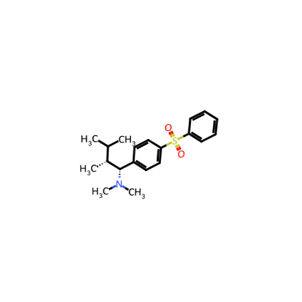 CC(C)[C@@H](C)[C@H](c1ccc(S(=O)(=O)c2ccccc2)cc1)N(C)C